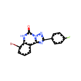 O=c1[nH]c2c(Br)cccc2c2nc(-c3ccc(F)cc3)nn12